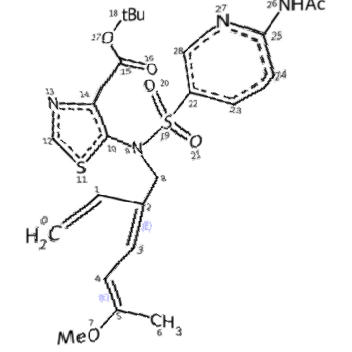 C=C/C(=C\C=C(/C)OC)CN(c1scnc1C(=O)OC(C)(C)C)S(=O)(=O)c1ccc(NC(C)=O)nc1